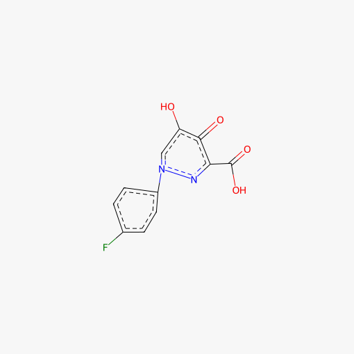 O=C(O)c1nn(-c2ccc(F)cc2)cc(O)c1=O